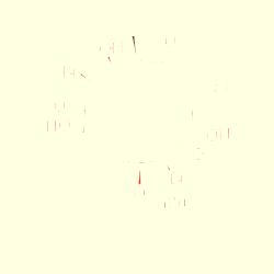 CCCCO[C@H]1[C@H](C)C[C@@](C)(O)C(=O)[C@@H](Br)[C@@H](O)[C@@H](C)C(=O)C[C@H](CC)[C@@](C)(O)C(=O)[C@H]1Br